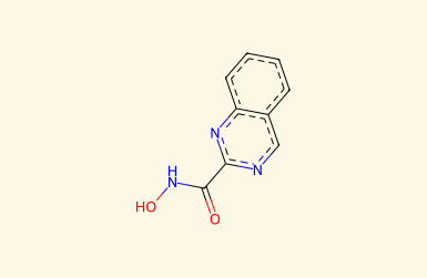 O=C(NO)c1ncc2ccccc2n1